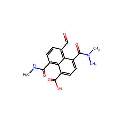 CNC(=O)c1ccc(C=O)c2c(C(=O)N(C)N)ccc(C(=O)O)c12